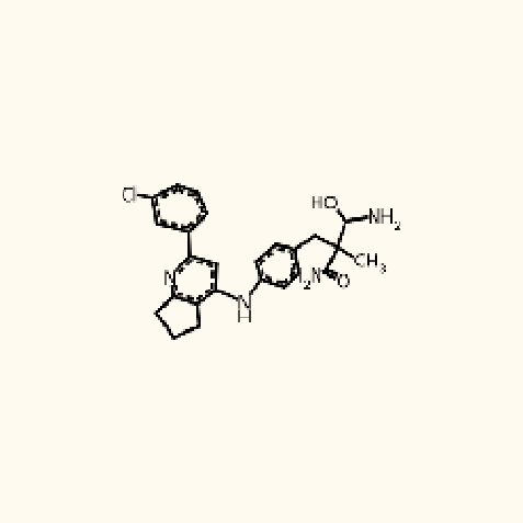 CC(Cc1ccc(Nc2cc(-c3cccc(Cl)c3)nc3c2CCC3)cc1)(C(N)=O)C(N)O